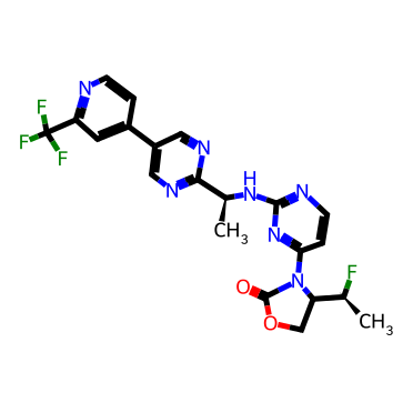 C[C@H](Nc1nccc(N2C(=O)OCC2[C@H](C)F)n1)c1ncc(-c2ccnc(C(F)(F)F)c2)cn1